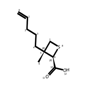 C=CCCC[C@]1(C)CS[C@H]1C(=O)O